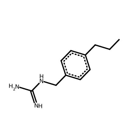 CCCc1ccc(CNC(=N)N)cc1